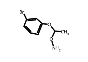 CC(ON)Oc1cccc(Br)c1